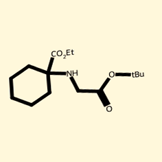 CCOC(=O)C1(NCC(=O)OC(C)(C)C)CCCCC1